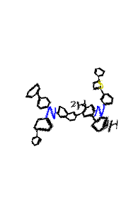 [2H]c1ccc2c3cc(-c4ccc5cc(N(c6ccc(-c7ccccc7)cc6)c6ccc(-c7ccccc7)cc6)ccc5c4)c([2H])cc3n(-c3cccc(-c4ccc(-c5ccccc5)s4)c3)c2c1